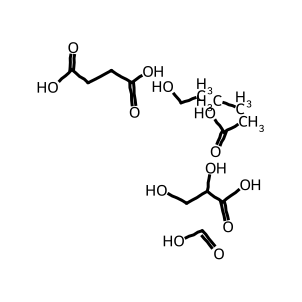 CC.CC(=O)O.CCO.O=C(O)C(O)CO.O=C(O)CCC(=O)O.O=CO